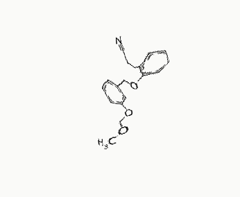 COCOc1cccc(COc2ccccc2CC#N)c1